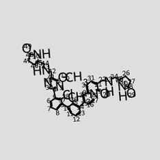 COc1nc(-c2cccc(-c3cccc(-c4ccn5c(=O)c(CNC[C@H]6CCC(=O)N6)ccc5c4)c3C)c2Cl)cnc1CNC[C@H]1CCC(=O)N1